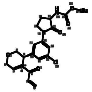 C=CC(=O)[N+]1=CCOC[C@H]1c1cc(Cl)cc(N2CCC(NC(=O)OC(C)(C)C)C2=O)c1